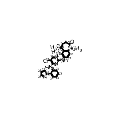 CN1C(=O)CCC(C)(C)c2cc(Nc3ncc(Cl)c(Nc4ccccc4-n4cccn4)n3)ccc21